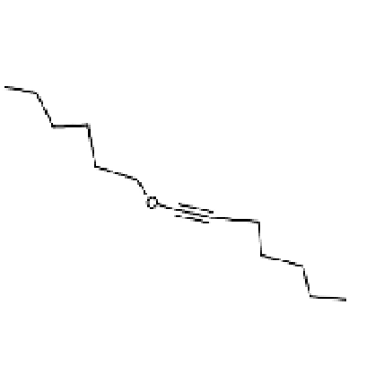 CCCCCC#COCCCCCC